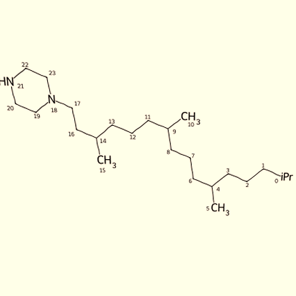 CC(C)CCCC(C)CCCC(C)CCCC(C)CCN1CCNCC1